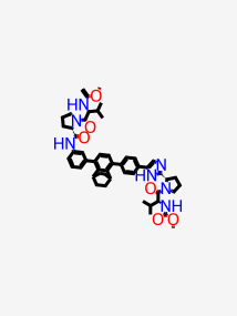 C=C(N[C@H](C(=O)N1CCC[C@H]1C(=O)Nc1cccc(-c2ccc(-c3ccc(-c4cnc([C@@H]5CCCN5C(=O)[C@@H](NC(=O)OC)C(C)C)[nH]4)cc3)c3c2C2CCC3CC2)c1)C(C)C)OC